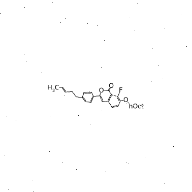 C/C=C/CCc1ccc(-c2cc3ccc(OCCCCCCCC)c(F)c3c(=O)o2)cc1